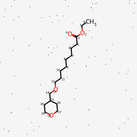 CCOC(=O)CCCCCCCCOCC1CCOCC1